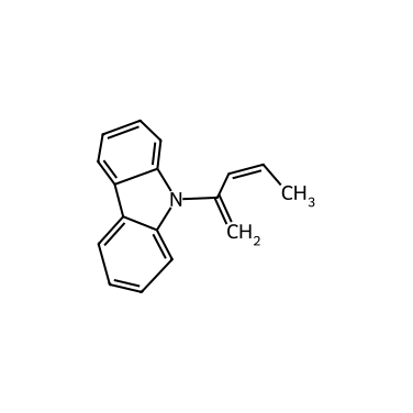 C=C(/C=C\C)n1c2ccccc2c2ccccc21